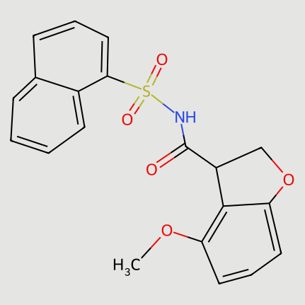 COc1cccc2c1C(C(=O)NS(=O)(=O)c1cccc3ccccc13)CO2